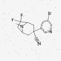 CN1C2CC(C#N)(c3cncc(Br)c3)CC1C(F)(F)C2